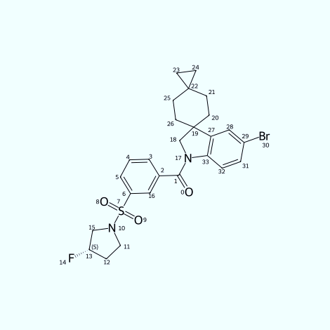 O=C(c1cccc(S(=O)(=O)N2CC[C@H](F)C2)c1)N1CC2(CCC3(CC3)CC2)c2cc(Br)ccc21